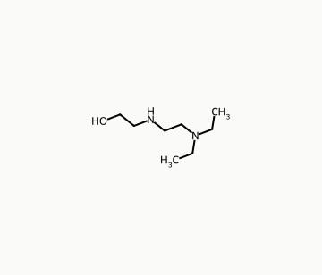 CCN(CC)CCNCCO